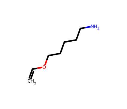 C=COCCCCCN